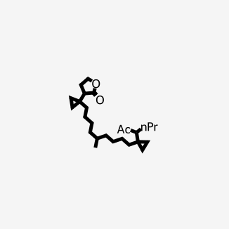 CCCC(C(C)=O)C1(CCCCC(C)CCCCC2(C3CCOC3=O)CC2)CC1